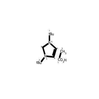 CC(=O)O.CC(C)(C)N1C=CN(C(C)(C)C)C1